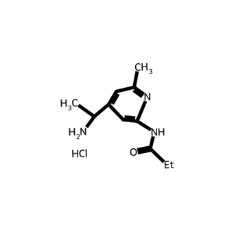 CCC(=O)Nc1cc(C(C)N)cc(C)n1.Cl